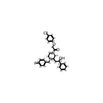 O=C(COc1ccc(Cl)cc1)N1CCN(Cc2ccc(F)cc2)C(CC(O)c2ccccc2)C1